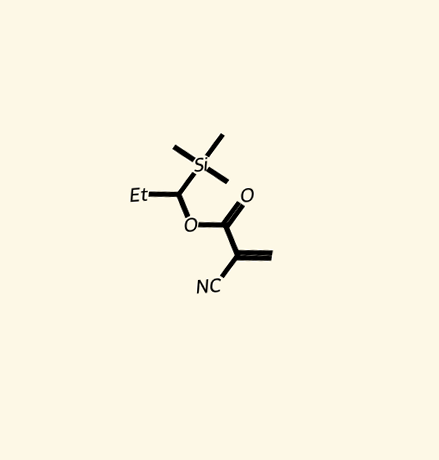 C=C(C#N)C(=O)OC(CC)[Si](C)(C)C